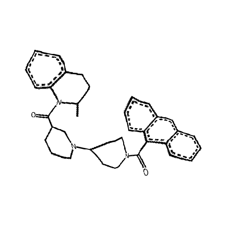 CC1CCc2ccccc2N1C(=O)C1CCCN(C2CCN(C(=O)c3c4ccccc4cc4ccccc34)CC2)C1